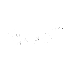 Cc1c(C(=O)O)cccc1N1CCN(C(=O)OC(C)(C)C)CC1